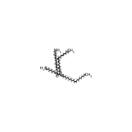 CCCCCCCC/C=C\CCCCCCCCOCC(OCCCCCCCC/C=C\CCCCCCCC)C(=O)N(CCCCCCCC)CCOCCOCCOCCOCCN